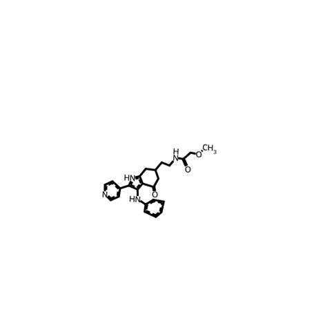 COCC(=O)NCCC1CC(=O)c2c([nH]c(-c3ccncc3)c2Nc2ccccc2)C1